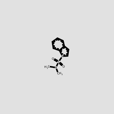 CN(C)S(=O)(=O)n1c[c]c2ccccc21